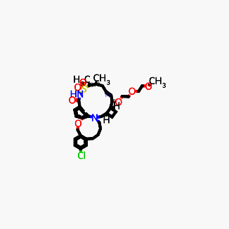 COCCOCCO[C@H]1/C=C/C[C@H](C)[C@@H](C)S(=O)(=O)NC(=O)c2ccc3c(c2)N(CCCCc2cc(Cl)ccc2CO3)C[C@@H]2CC[C@H]21